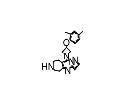 Cc1ccc(OC2CN(c3c4c(nc5ccnn35)CCNCC4)C2)c(C)c1